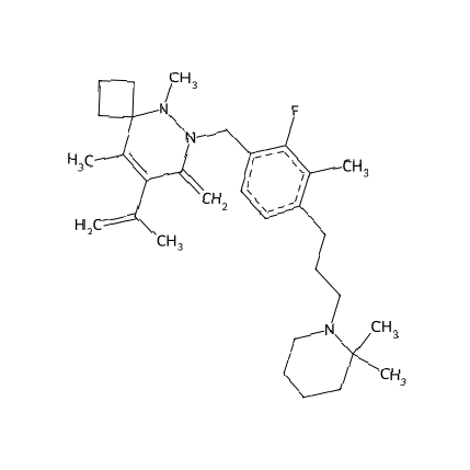 C=C(C)C1=C(C)C2(CCC2)N(C)N(Cc2ccc(CCCN3CCCCC3(C)C)c(C)c2F)C1=C